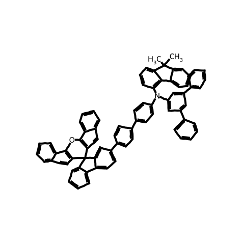 CC1(C)c2ccccc2-c2c(N(c3ccc(-c4ccc(-c5ccc6c(c5)C5(c7ccccc7-6)c6ccc7ccccc7c6Oc6c5ccc5ccccc65)cc4)cc3)c3cc(-c4ccccc4)cc(-c4ccccc4)c3)cccc21